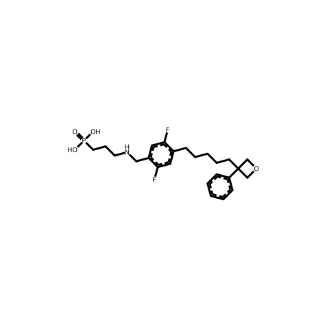 O=P(O)(O)CCCNCc1cc(F)c(CCCCCC2(c3ccccc3)COC2)cc1F